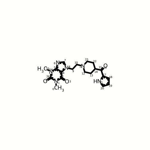 Cn1c(=O)c2c(ncn2CCN2CCC(C(=O)c3ccc[nH]3)CC2)n(C)c1=O